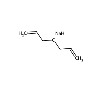 C=CCOCC=C.[NaH]